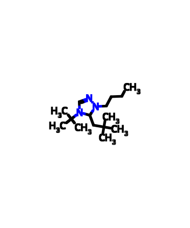 CCCCN1N=CN(C(C)(C)C)C1CC(C)(C)C